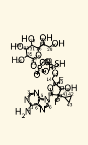 Nc1ncnc2c1ncn2[C@@H]1O[C@](F)(COP(=O)(S)OP(=O)(O)OC2OC([C@@H](O)CO)C(O)C(O)C2O)[C@@H](O)[C@]1(F)C1CC1